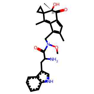 CON(CC1=C(C)C=C2C(=O)[C@](C)(O)C3(CC3)C(C)=C21)C(=O)C(N)Cc1c[nH]c2ccccc12